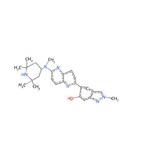 CN(c1ccc2nc(-c3cc4cn(C)nc4cc3O)ccc2n1)C1CC(C)(C)NC(C)(C)C1